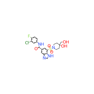 O=C(Nc1ccc(F)c(Cl)c1)c1cc(S(=O)(=O)N2CCC(O)(CO)CC2)c2[nH]cnc2c1